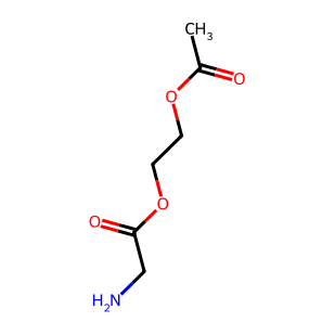 CC(=O)OCCOC(=O)CN